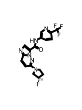 O=C(Nc1ccc(C(F)(F)F)nc1)c1cnc2ccc(N3CC[C@H](F)C3)nn12